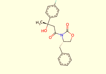 C[C@](O)(CC(=O)N1C(=O)OC[C@@H]1Cc1ccccc1)c1ccc(F)cc1